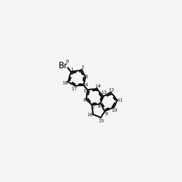 Brc1ccc(-c2cc3c4c(cccc4c2)CC3)cc1